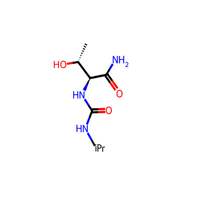 CC(C)NC(=O)N[C@H](C(N)=O)[C@@H](C)O